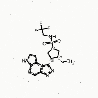 CC[C@H]1CN(S(=O)(=O)NCC(F)(F)F)C[C@H]1c1nnc2cnc3[nH]ccc3n12